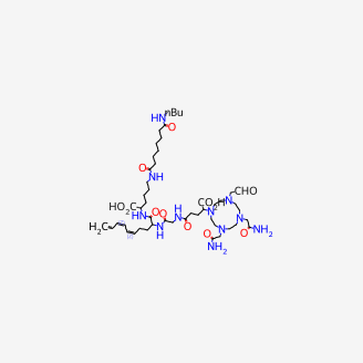 C=C/C=C\C=C/CCC(NC(=O)CNC(=O)CCC(C(=O)O)N1CCN(CC=O)CCN(CC(N)=O)CCN(CC(N)=O)CC1)C(=O)NC(CCCCNC(=O)CCCCCCC(=O)NCCCC)C(=O)O